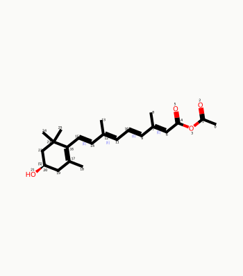 CC(=O)OC(=O)/C=C(C)/C=C/C=C(C)/C=C/C1=C(C)C[C@@H](O)CC1(C)C